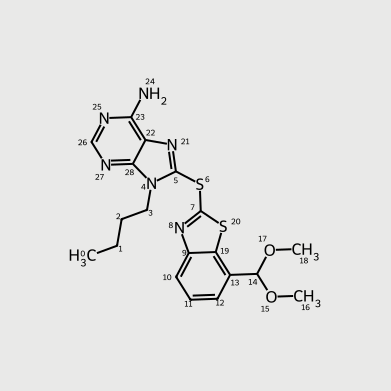 CCCCn1c(Sc2nc3cccc(C(OC)OC)c3s2)nc2c(N)ncnc21